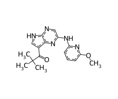 COc1cccc(Nc2cnc3[nH]cc(C(=O)C(C)(C)C)c3n2)n1